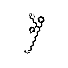 CCCCCCCCCCC(Cc1ccccc1)C(CCCCC)n1ccnc1